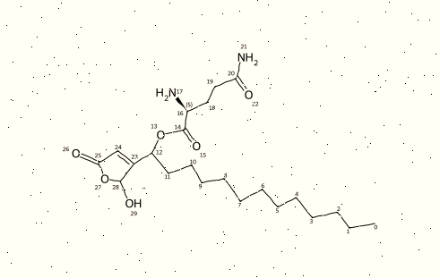 CCCCCCCCCCCCC(OC(=O)[C@@H](N)CCC(N)=O)C1=CC(=O)OC1O